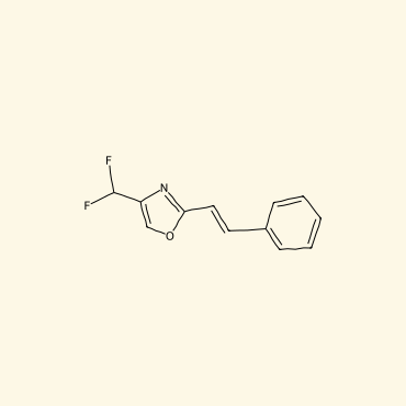 FC(F)c1coc(C=Cc2ccccc2)n1